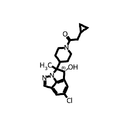 CC1(C2CCN(C(=O)CC3CC3)CC2)[C@H](O)c2cc(Cl)cc3cnn1c23